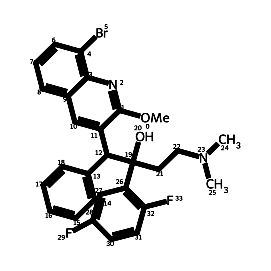 COc1nc2c(Br)cccc2cc1C(c1ccccc1)C(O)(CCN(C)C)c1cc(F)ccc1F